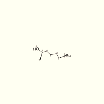 CCCCCCCCC(O)I